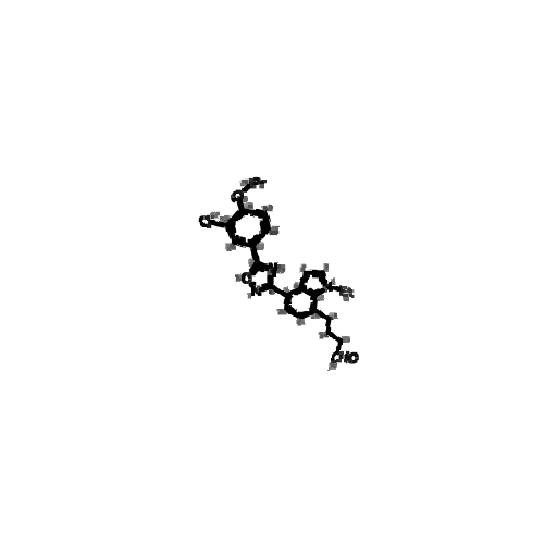 CCn1ccc2c(-c3noc(-c4ccc(OC(C)C)c(Cl)c4)n3)ccc(CCCC=O)c21